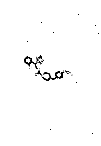 COc1ccc(CC2CCN(C(=O)OCC(c3ccccc3Cl)n3ncnn3)CC2)cc1